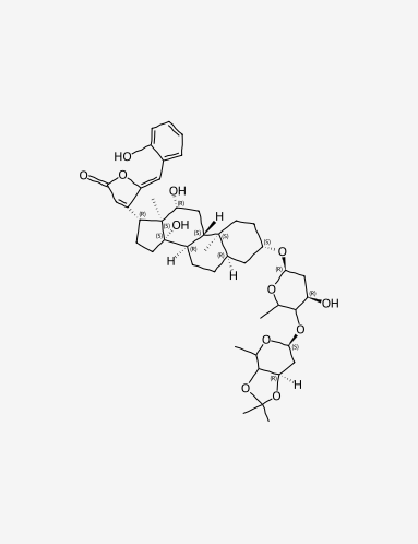 CC1O[C@@H](O[C@H]2CC[C@@]3(C)[C@H](CC[C@@H]4[C@@H]3C[C@@H](O)[C@]3(C)[C@@H](C5=CC(=O)OC5=Cc5ccccc5O)CC[C@]43O)C2)C[C@@H](O)C1O[C@H]1C[C@H]2OC(C)(C)OC2C(C)O1